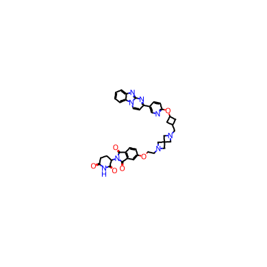 O=C1CCC(N2C(=O)c3ccc(OCCN4CC5(C4)CN(CC4CC(Oc6ccc(-c7ccn8c(n7)nc7ccccc78)cn6)C4)C5)cc3C2=O)C(=O)N1